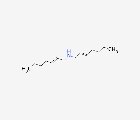 CCCCC=CCNCC=CCCCC